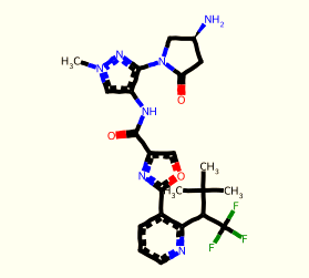 Cn1cc(NC(=O)c2coc(-c3cccnc3[C](C(C)(C)C)C(F)(F)F)n2)c(N2C[C@@H](N)CC2=O)n1